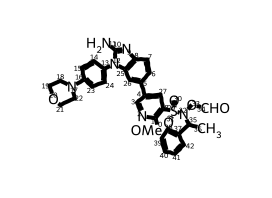 COc1ncc(-c2ccc3nc(N)n(-c4ccc(N5CCOCC5)cc4)c3c2)cc1S(=O)(=O)N(OC=O)C(C)c1ccccc1